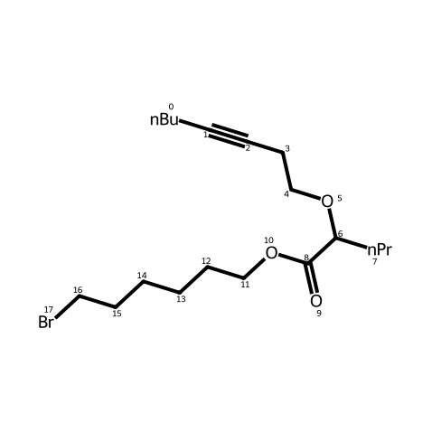 CCCCC#CCCOC(CCC)C(=O)OCCCCCCBr